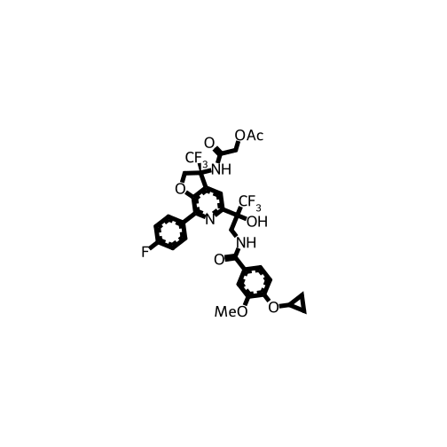 COc1cc(C(=O)NCC(O)(c2cc3c(c(-c4ccc(F)cc4)n2)OC[C@@]3(NC(=O)COC(C)=O)C(F)(F)F)C(F)(F)F)ccc1OC1CC1